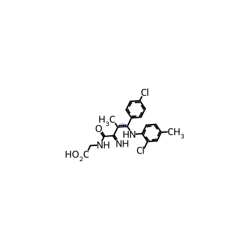 C/C(C(=N)C(=O)NCC(=O)O)=C(/Nc1ccc(C)cc1Cl)c1ccc(Cl)cc1